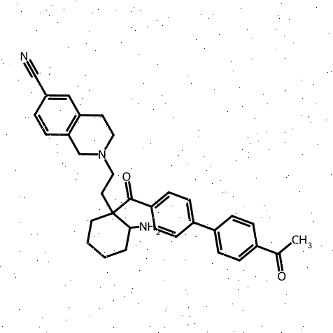 CC(=O)c1ccc(-c2ccc(C(=O)C3(CCN4CCc5cc(C#N)ccc5C4)CCCCC3N)cc2)cc1